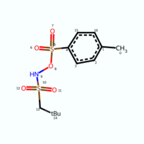 Cc1ccc(S(=O)(=O)ONS(=O)(=O)CC(C)(C)C)cc1